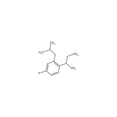 CCC(C)c1ccc(F)cc1CC(C)C